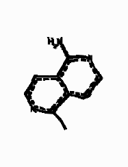 Cc1nccc2c(N)nccc12